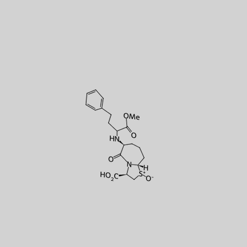 COC(=O)C(CCc1ccccc1)N[C@H]1CCC[C@H]2N(C1=O)[C@H](C(=O)O)C[S+]2[O-]